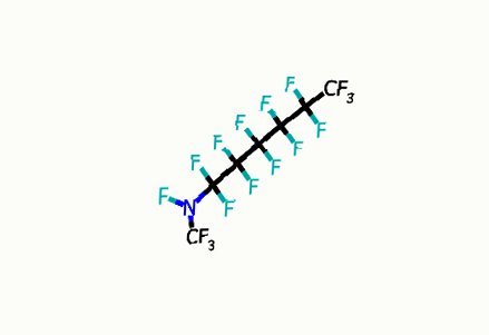 FN(C(F)(F)F)C(F)(F)C(F)(F)C(F)(F)C(F)(F)C(F)(F)C(F)(F)F